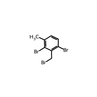 Cc1ccc(Br)c(CBr)c1Br